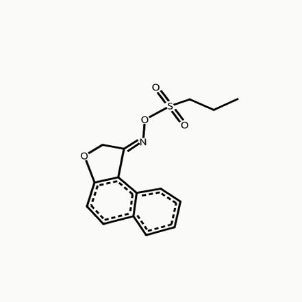 CCCS(=O)(=O)ON=C1COc2ccc3ccccc3c21